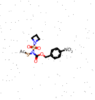 CC(=O)SN(C(=O)OCc1ccc([N+](=O)[O-])cc1)S(=O)(=O)N1CCC1